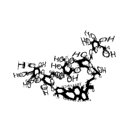 CC(CC[C@@H](O[C@@H]1O[C@H](CO[C@@H]2O[C@H](CO)[C@@H](O)[C@H](O)[C@H]2O)[C@@H](O)[C@H](O)[C@H]1O[C@@H]1O[C@H](CO)[C@@H](O)[C@H](O)[C@H]1O)C(C)(C)O)C1CCC2(C)C3CC=C4C(CC[C@H](O[C@@H]5O[C@H](CO)[C@@H](O[C@@H]6O[C@H](CO)[C@@H](O)[C@H](O)[C@H]6O)[C@H](O)[C@H]5O)C4(C)C)C3(C)CCC12C